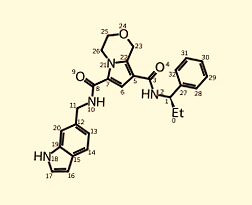 CC[C@@H](NC(=O)c1cc(C(=O)NCc2ccc3cc[nH]c3c2)n2c1COCC2)c1ccccc1